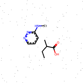 CCC(C)C(=O)O.CCNc1cccnn1